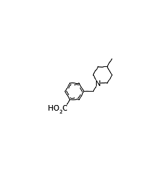 CC1CCN(Cc2cccc(C(=O)O)c2)CC1